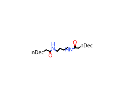 CCCCCCCCCCCC(=O)NCCCCNC(=O)CCCCCCCCCCC